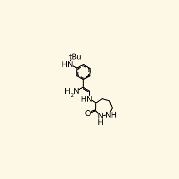 CC(C)(C)Nc1cccc(/C(N)=C/NC2CCCNNC2=O)c1